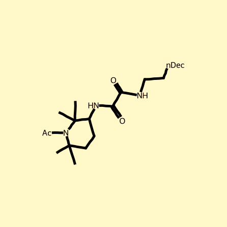 CCCCCCCCCCCCNC(=O)C(=O)NC1CCC(C)(C)N(C(C)=O)C1(C)C